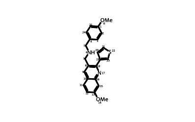 COc1ccc(CNCc2cc3ccc(OC)cc3nc2-c2ccsc2)cc1